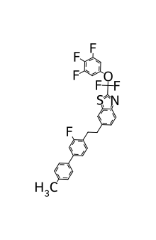 Cc1ccc(-c2ccc(CCc3ccc4nc(C(F)(F)Oc5cc(F)c(F)c(F)c5)sc4c3)c(F)c2)cc1